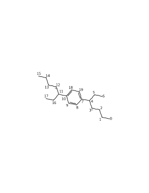 CCC[C]C(CC)c1ccc(C([C]CCC)CC)cc1